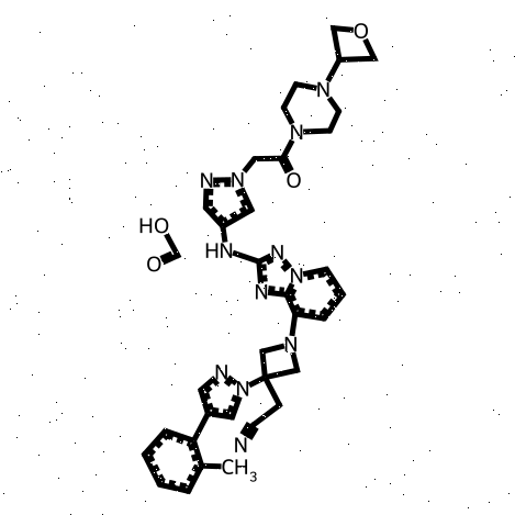 Cc1ccccc1-c1cnn(C2(CC#N)CN(c3cccn4nc(Nc5cnn(CC(=O)N6CCN(C7COC7)CC6)c5)nc34)C2)c1.O=CO